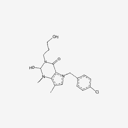 Cc1cn(Cc2ccc(Cl)cc2)c2c1N(C)C(O)N(CCCO)C2=O